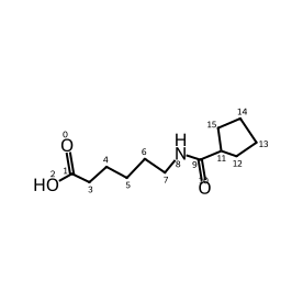 O=C(O)CCCCCNC(=O)C1CCCC1